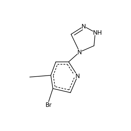 Cc1cc(N2C=NNC2)ncc1Br